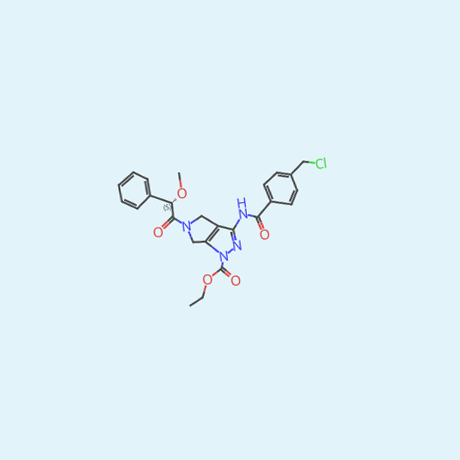 CCOC(=O)n1nc(NC(=O)c2ccc(CCl)cc2)c2c1CN(C(=O)[C@@H](OC)c1ccccc1)C2